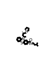 CC(C)CCNC(=O)c1ccc2c(c1)N(C(C)C[C@H](C)CN1CCCC1)c1ccccc1S2